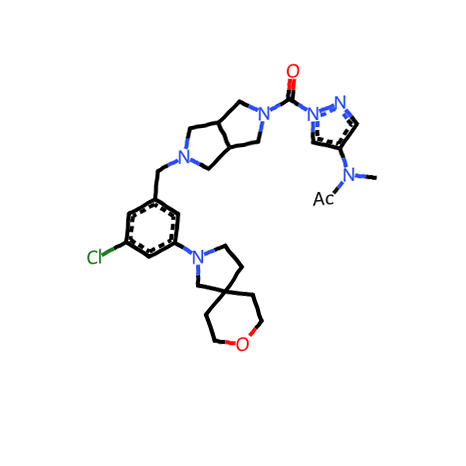 CC(=O)N(C)c1cnn(C(=O)N2CC3CN(Cc4cc(Cl)cc(N5CCC6(CCOCC6)C5)c4)CC3C2)c1